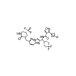 O=C(NC(c1cn2nc(CC3C[C@@H](C(F)(F)F)CNC3=O)ccc2n1)C1CCC(F)(F)CC1)c1conc1C12CC(F)(C1)C2